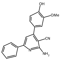 COc1cc(-c2cc(-c3ccccc3)nc(N)c2C#N)ccc1O